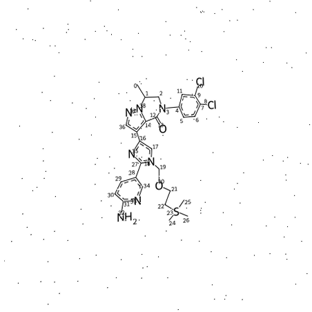 CC1CN(c2ccc(Cl)c(Cl)c2)C(=O)c2c(-c3cn(COCCS(C)(C)C)c(-c4ccc(N)nc4)n3)cnn21